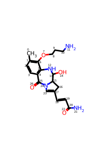 Cc1ccc2c(c1OCCCN)NC(O)C1CC(/C=C/C(N)=O)=CN1C2=O